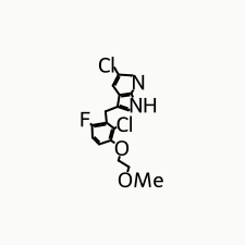 COCCOc1ccc(F)c(Cc2c[nH]c3ncc(Cl)cc23)c1Cl